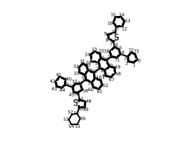 c1ccc(-c2cc(-c3ccc(-c4ccccc4)s3)cc(-c3c4ccccc4c(-c4c5ccccc5c(-c5cc(-c6ccccc6)cc(-c6ccc(C7CCCCC7)s6)c5)c5ccccc45)c4ccccc34)c2)cc1